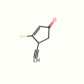 C#CC1CC(=O)C=C1F